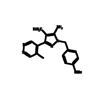 CCOC(=O)c1c(-c2cnncc2C)nn(Cc2ccc(OC)cc2)c1N